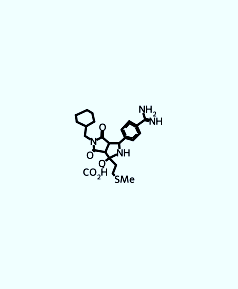 CSCCC1(OC(=O)O)NC(c2ccc(C(=N)N)cc2)C2C(=O)N(CC3CCCCC3)C(=O)C21